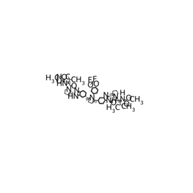 COC(=O)N[C@H](C(=O)N1CCC[C@H]1c1nc2cc([C@H]3CC[C@H](c4ccc5nc([C@@H]6CCCN6C(=O)[C@@H](NC(=O)OC)C(C)C)[nH]c5c4)N3c3ccc4c(c3)OC(F)(F)O4)ccc2[nH]1)C(C)C